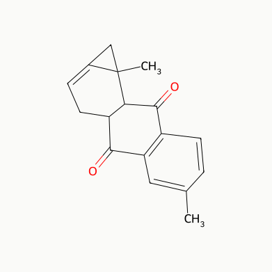 Cc1ccc2c(c1)C(=O)C1CC=C3CC3(C)C1C2=O